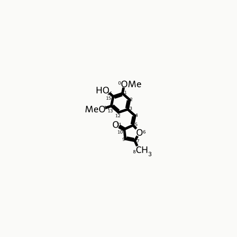 COc1cc(/C=C2/OC(C)=CC2=O)cc(OC)c1O